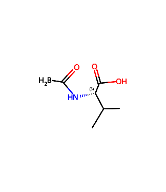 BC(=O)N[C@H](C(=O)O)C(C)C